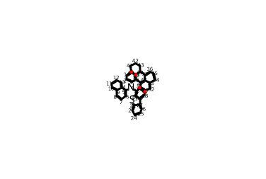 c1ccc(N(c2cccc3ccccc23)c2cccc3c2sc2ccccc23)c(-c2cccc3cccc(C4CCCCC4)c23)c1